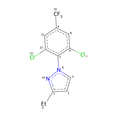 CCc1ccn(-c2c(Cl)cc(C(F)(F)F)cc2Cl)n1